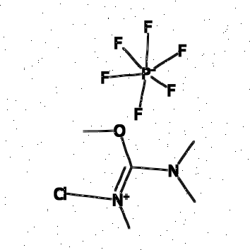 COC(N(C)C)=[N+](C)Cl.F[P-](F)(F)(F)(F)F